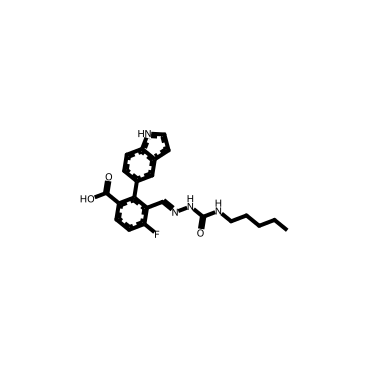 CCCCCNC(=O)NN=Cc1c(F)ccc(C(=O)O)c1-c1ccc2[nH]ccc2c1